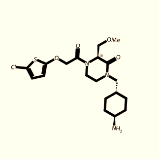 COC[C@H]1C(=O)N(C[C@H]2CC[C@H](N)CC2)CCN1C(=O)COc1ccc(Cl)s1